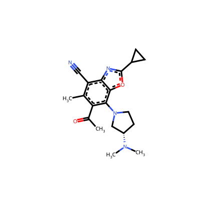 CC(=O)c1c(C)c(C#N)c2nc(C3CC3)oc2c1N1CC[C@H](N(C)C)C1